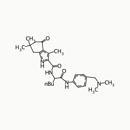 CCCCC(NC(=O)c1[nH]c2c(c1C)C(=O)CC(C)(C)C2)C(=O)Nc1ccc(CN(C)C)cc1